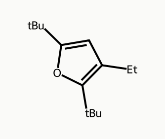 CCc1cc(C(C)(C)C)oc1C(C)(C)C